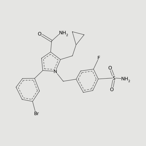 NC(=O)c1cc(-c2cccc(Br)c2)n(Cc2ccc(S(N)(=O)=O)c(F)c2)c1CC1CC1